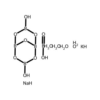 O.O.O.O.O=BO.OB1OB2OB(O)OB(O1)O2.[KH].[NaH]